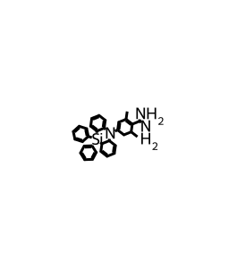 CC1=C(C(N)N)C(C)CC(N2c3ccccc3[Si](c3ccccc3)(c3ccccc3)C3C=CC=CC32)=C1